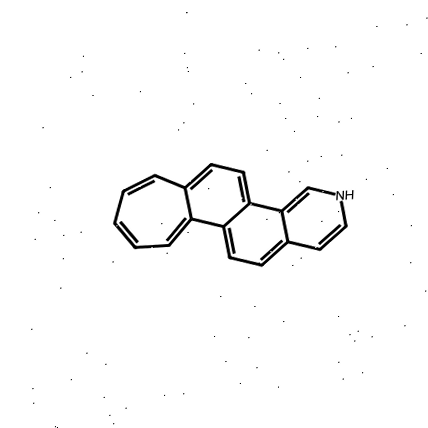 C1=CC=c2c(ccc3c4c(ccc23)C=CNC=4)C=C1